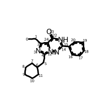 CCc1nc(CC2CCCCC2)n2nc(-c3ccccc3)[nH]c(=O)c12